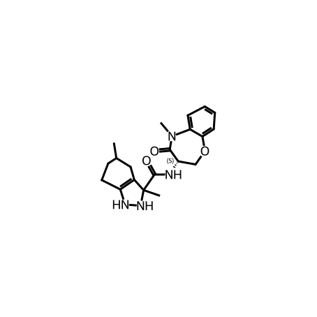 CC1CCC2=C(C1)C(C)(C(=O)N[C@H]1COc3ccccc3N(C)C1=O)NN2